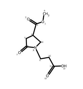 COC(=O)C1CC(=O)N(CCC(=O)O)C1